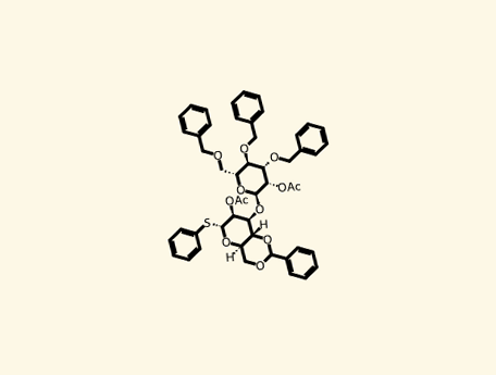 CC(=O)O[C@@H]1[C@@H](O[C@@H]2[C@H](OC(C)=O)[C@@H](Sc3ccccc3)O[C@@H]3COC(c4ccccc4)O[C@@H]23)O[C@H](COCc2ccccc2)[C@@H](OCc2ccccc2)[C@@H]1OCc1ccccc1